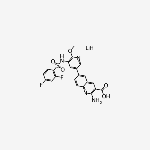 COc1ncc(-c2ccc3nc(N)c(C(=O)O)cc3c2)cc1NS(=O)(=O)c1ccc(F)cc1F.[LiH]